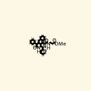 COC(=O)CCNC(=O)c1nc(-c2ccccn2)c2[nH]c(=O)c(-c3ccccc3)c(Cc3ccccc3)c2c1O